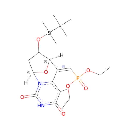 CCOP(=O)(/C=C1\c2c(C)c(=O)[nH]c(=O)n2[C@H]2CC(O[Si](C)(C)C(C)(C)C)[C@@H]1O2)OCC